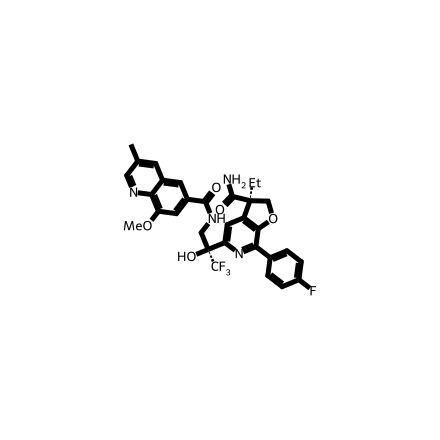 CC[C@]1(C(N)=O)COc2c1cc([C@@](O)(CNC(=O)c1cc(OC)c3ncc(C)cc3c1)C(F)(F)F)nc2-c1ccc(F)cc1